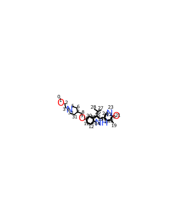 COCCN1CCC(COc2ccc3[nH]c(-c4cc(C)c(=O)n(C)c4)c(C(C)C)c3c2)CC1